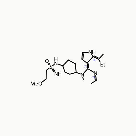 C\C=N/C(=c1/cc[nH]/c1=C(\C)CC)N(C)C1CCC(NS(=N)(=O)CCOC)CC1